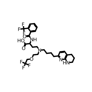 O=C(NC(CCN(CCCCc1ccc2c(n1)NCCC2)CCOCC(F)(F)F)C(=O)O)c1ccccc1C(F)(F)F